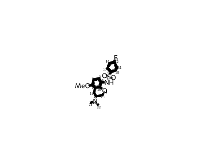 COc1ccc(NS(=O)(=O)c2ccc(F)cc2)c2c1C[C@@H](N(C)C)CO2